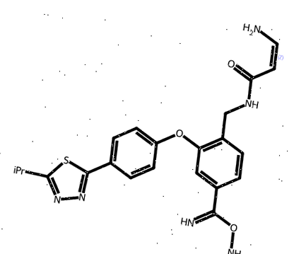 CC(C)c1nnc(-c2ccc(Oc3cc(C(=N)ON)ccc3CNC(=O)/C=C\N)cc2)s1